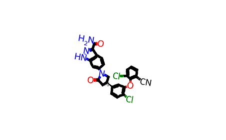 N#Cc1cccc(Cl)c1Oc1cc([C@H]2CC(=O)N(c3ccc4c(C(N)=O)n[nH]c4c3)C2)ccc1Cl